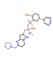 CC(C)(CC(O)(Cc1cc2nc(CN3CCCC3)ccc2[nH]1)C(F)(F)F)c1cc(-c2cncnc2)ccc1O